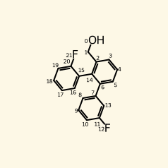 OCc1cccc(-c2cccc(F)c2)c1-c1ccccc1F